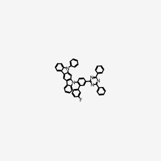 Fc1cccc(-c2cc(-c3nc(-c4ccccc4)nc(-c4ccccc4)n3)ccc2-n2c3ccccc3c3cc4c5ccccc5n(-c5ccccc5)c4cc32)c1